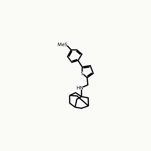 CSc1ccc(-c2ccc(CNC34CC5CC(CC(C5)C3)C4)s2)cc1